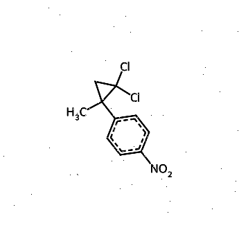 CC1(c2ccc([N+](=O)[O-])cc2)CC1(Cl)Cl